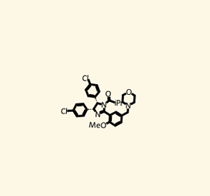 COc1ccc(CN2CCOCC2)cc1C1=N[C@H](c2ccc(Cl)cc2)[C@H](c2ccc(Cl)cc2)N1C(=O)C(C)C